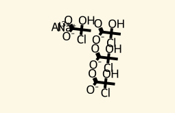 CC(O)(Cl)C(=O)[O-].CC(O)(Cl)C(=O)[O-].CC(O)(Cl)C(=O)[O-].CC(O)(Cl)C(=O)[O-].[Al+3].[Na+]